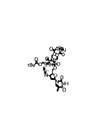 Cc1cn([C@H]2C[C@@H](N=[N+]=[N-])[C@@H](COP(=O)(NP(=O)(OCOC(=O)C(C)(C)C)OCOC(=O)C(C)(C)C)OCOC(=O)C(C)(C)C)O2)c(=O)[nH]c1=O